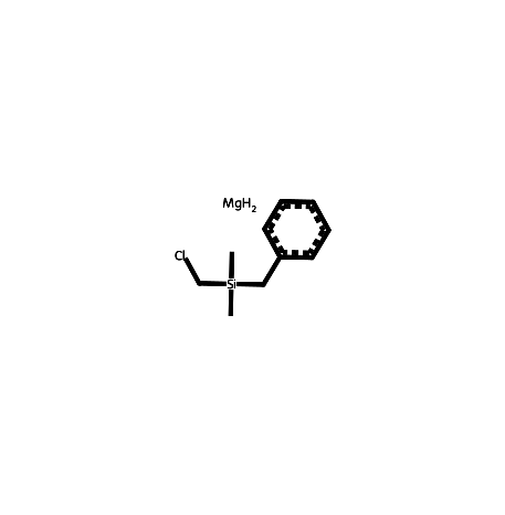 C[Si](C)(CCl)Cc1ccccc1.[MgH2]